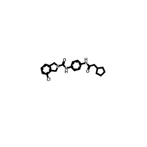 O=C(CC1CCCC1)Nc1ccc(NC(=O)N2Cc3cccc(Cl)c3C2)cc1